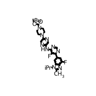 Cc1nc2c(F)cc(-c3ncnc(Nc4cnc(N5CCN(C(=O)OC(C)(C)C)CC5)cn4)c3F)cc2n1C(C)C